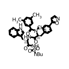 CCCCS(=O)(=O)NC(=O)[C@H](Cc1c[nH]c2ccccc12)NC(=O)[C@H](Cc1ccc(-c2ccno2)cc1)N(C)C(=O)c1cc(C)cc(C)c1